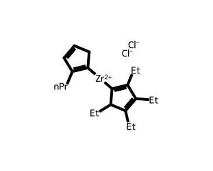 CCCC1=[C]([Zr+2][C]2=C(CC)C(CC)=C(CC)C2CC)CC=C1.[Cl-].[Cl-]